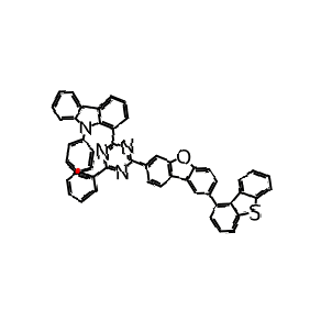 c1ccc(-c2nc(-c3ccc4c(c3)oc3ccc(-c5cccc6sc7ccccc7c56)cc34)nc(-c3cccc4c5ccccc5n(-c5ccccc5)c34)n2)cc1